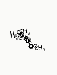 COc1cccc(-c2cc3n(n2)CCN(C(=O)OC(C)(C)C)C3)c1